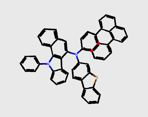 c1ccc(-c2cccc3cccc(-c4ccc(N(c5ccc6c(c5)sc5ccccc56)c5cc6ccccc6c6c5c5ccccc5n6-c5ccccc5)cc4)c23)cc1